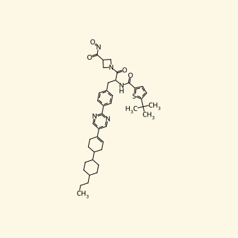 CCCC1CCC(C2CC=C(c3cnc(-c4ccc(CC(NC(=O)c5ccc(C(C)(C)C)s5)C(=O)N5CC(C(=O)N=O)C5)cc4)nc3)CC2)CC1